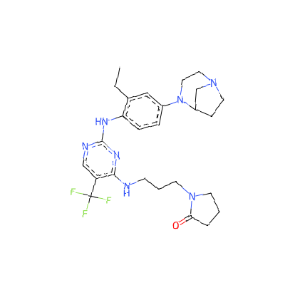 CCc1cc(N2CCN3CCC2C3)ccc1Nc1ncc(C(F)(F)F)c(NCCCN2CCCC2=O)n1